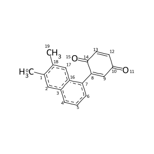 Cc1cc2cccc(C3=CC(=O)C=CC3=O)c2cc1C